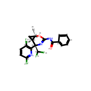 O=C(NC1=N[C@@](c2nc(Br)ccc2F)(C(F)F)[C@H]2C[C@H]2O1)c1ccccc1